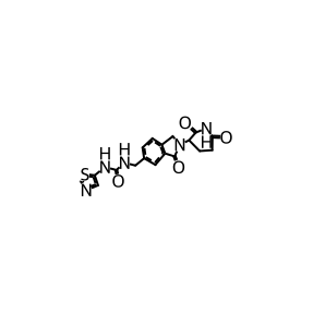 O=C1CCC(N2Cc3ccc(CNC(=O)Nc4cncs4)cc3C2=O)C(=O)N1